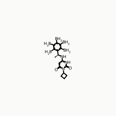 Bc1c(B)c(B)c([C@H](C)Nc2cc(=O)n(C3CCC3)c(=O)[nH]2)c(B)c1B